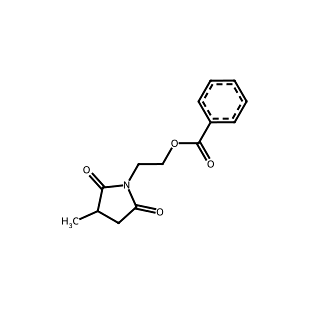 CC1CC(=O)N(CCOC(=O)c2ccccc2)C1=O